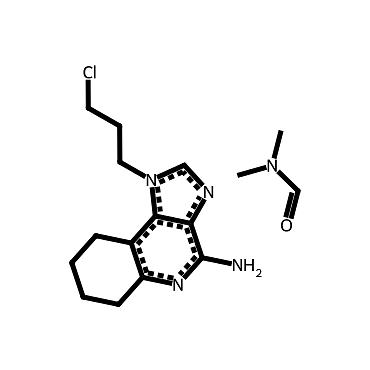 CN(C)C=O.Nc1nc2c(c3c1ncn3CCCCl)CCCC2